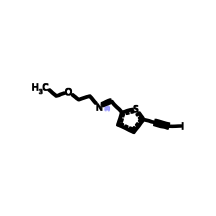 CCOCC/N=C/c1ccc(C#CI)s1